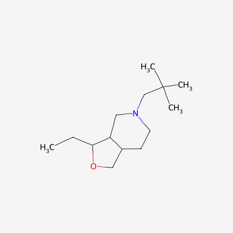 CCC1OCC2CCN(CC(C)(C)C)CC21